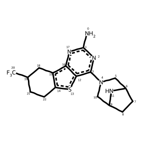 Nc1nc(N2CC3CCC(C2)N3)c2sc3c(c2n1)CC(C(F)(F)F)CC3